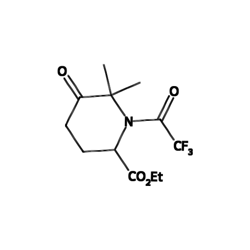 CCOC(=O)C1CCC(=O)C(C)(C)N1C(=O)C(F)(F)F